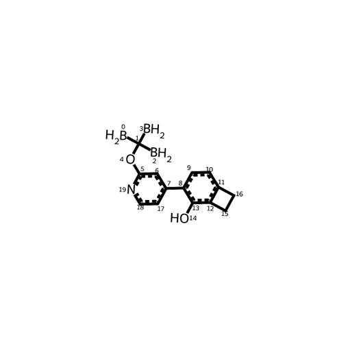 BC(B)(B)Oc1cc(-c2ccc3c(c2O)CC3)ccn1